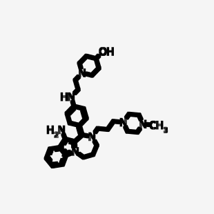 CN1CCN(CCCN2CCCn3c(c(N)c4ccccc43)/C2=C2/C=CC(NCCN3CCC(O)CC3)=CC2)CC1